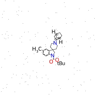 Cc1ccc2c(c1)C1(CCN([C@H]3C[C@H]4CC[C@@H]3C4)CC1)CN2C(=O)OC(C)(C)C